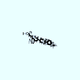 O=C(O)CNC(=O)c1ncc(C2=CCN(S(=O)(=O)c3ccc(OC(F)(F)F)cc3)CC2)cc1O